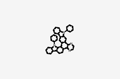 c1ccc(-n2c3ccccc3c3cc4c(cc32)c2nccnc2c2ccc3c5ccccc5n(-c5ccccc5)c3c42)cc1